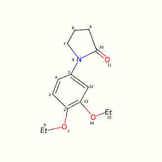 CCOc1ccc(N2CCCC2=O)cc1OCC